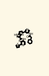 O=C(CC1CCCCC1)Nc1cncc(-c2ccc3[nH]nc(-c4nc5c(-c6cccs6)nccc5[nH]4)c3n2)c1